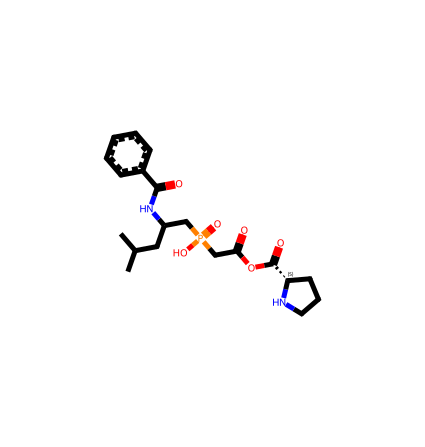 CC(C)CC(CP(=O)(O)CC(=O)OC(=O)[C@@H]1CCCN1)NC(=O)c1ccccc1